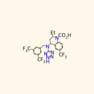 CCC1CC(N(Cc2cc(C(F)(F)F)cc(C(F)(F)F)c2)c2nn[nH]n2)c2cc(C(F)(F)F)ccc2N1C(=O)O